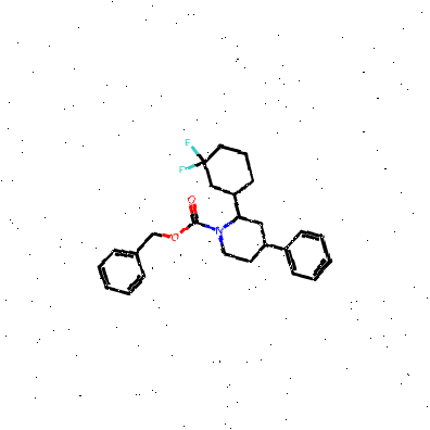 O=C(OCc1ccccc1)N1CCC(c2ccccc2)CC1C1CCCC(F)(F)C1